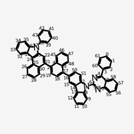 c1ccc(-c2nc(-n3c4ccccc4c4cc(-c5ccc(-c6cc7c(c8ccccc68)c6ccccc6n7-c6ccccc6)c6ccccc56)ccc43)nc3ccccc23)cc1